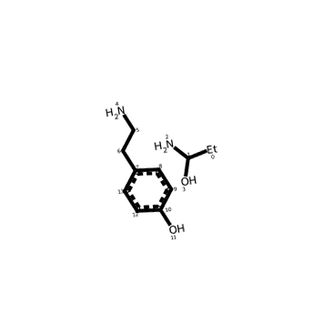 CCC(N)O.NCCc1ccc(O)cc1